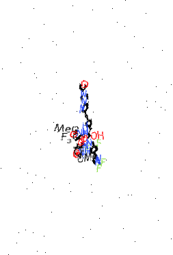 COC(=O)N[C@H](C(=O)N[C@@H](Cc1ccc(C#Cc2ccc(N3CCN([C@H]4CCOC4)CC3)nc2)cc1)[C@@H](O)CN(Cc1c(F)cc(-c2ccn(C(F)F)n2)cc1F)NC(=O)[C@@H](NC(=O)OC)C(C)(C)C(F)(F)F)C(C)(C)C(F)(F)F